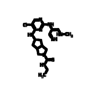 CCNC(=S)N1CC2CC(Nc3nc(N/C(C=N)=C/NC)ncc3Cl)CC2C1